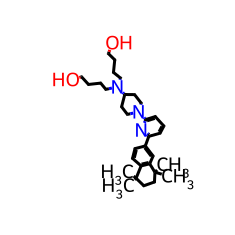 CC1(C)CCC(C)(C)c2cc(-c3cccc(N4CCC(N(CCCCO)CCCCO)CC4)n3)ccc21